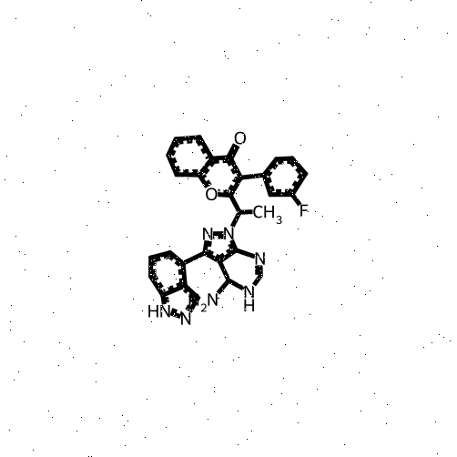 CC(c1oc2ccccc2c(=O)c1-c1cccc(F)c1)n1nc(-c2cccc3[nH]ncc23)c2c1N=CNC2N